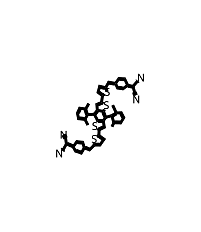 Cc1cccc(C)c1-c1c2cc(-c3ccc(C=c4ccc(=C(C#N)C#N)cc4)s3)sc2c(-c2c(C)cccc2C)c2cc(-c3ccc(C=c4ccc(=C(C#N)C#N)cc4)s3)sc12